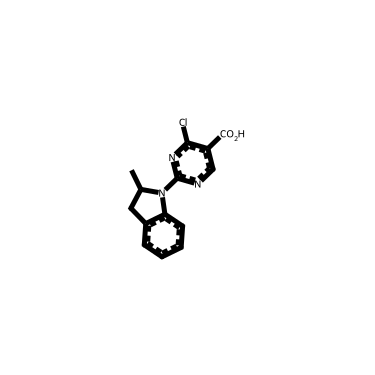 CC1Cc2ccccc2N1c1ncc(C(=O)O)c(Cl)n1